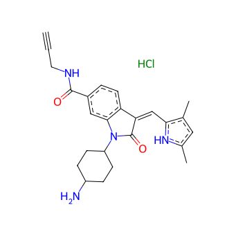 C#CCNC(=O)c1ccc2c(c1)N(C1CCC(N)CC1)C(=O)/C2=C\c1[nH]c(C)cc1C.Cl